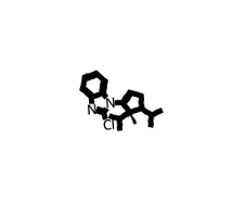 CC(C)C1CC=C(n2c(Cl)nc3ccccc32)[C@@]1(C)C(C)C